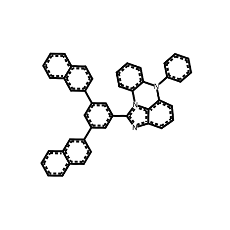 c1ccc(N2c3ccccc3-n3c(-c4cc(-c5ccc6ccccc6c5)cc(-c5ccc6ccccc6c5)c4)nc4cccc2c43)cc1